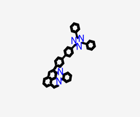 c1ccc(-c2nc(-c3ccccc3)nc(-c3ccc(-c4ccc5c6cc7cccc8ccn9c%10ccccc%10n(c5c4)c6c-9c87)cc3)n2)cc1